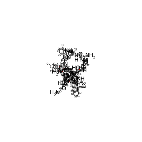 CCCN(CCCC[C@@H]1NC(=O)[C@H](Cc2c[nH]c3c(C)cccc23)NC(=O)[C@H]([C@@H](C)O)NC(=O)[C@H](CC(N)=O)NC(=O)[C@@H](NC(C)=O)C(C)(C)SSC(C)(C)[C@@H](C(=O)N[C@@H](Cc2ccc(OCCN)cc2)C(=O)N[C@@H](Cc2ccc3ccccc3c2)C(=O)NC2(C(=O)N[C@@H](CCC(=O)O)C(=O)N[C@@H](CC(N)=O)C(=O)N[C@@H](Cc3cccnc3)C(=O)N(C)CC(N)=O)CCOCC2)NC1=O)C(C)=O